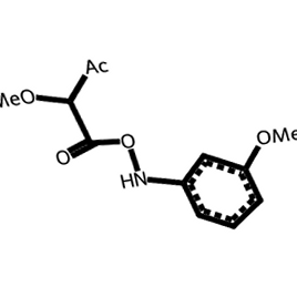 COc1cccc(NOC(=O)C(OC)C(C)=O)c1